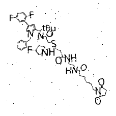 CC(C)(C)C(c1cc(-c2cc(F)ccc2F)cn1Cc1ccccc1)N(C[C@@H]1CNC[C@@H]1F)C(=O)CSCCC(=O)NCCNC(=O)CCCCCN1C(=O)CCC1=O